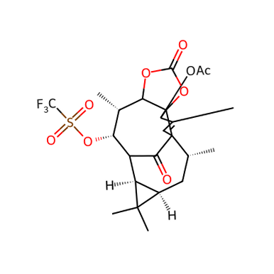 CC(=O)OC1C(C)=CC23C(=O)C([C@H](OS(=O)(=O)C(F)(F)F)[C@H](C)C4OC(=O)OC142)[C@H]1[C@@H](C[C@H]3C)C1(C)C